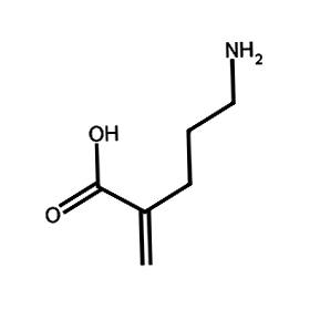 C=C(CCCN)C(=O)O